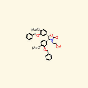 COc1ccc([C@@H]2[C@H](c3ccc(OC)c(OCc4ccccc4)c3)OC(=O)N2CCO)cc1OCc1ccccc1